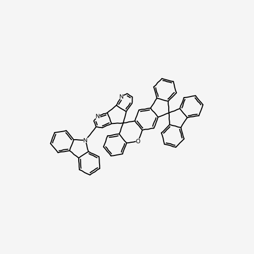 c1ccc2c(c1)Oc1cc3c(cc1C21c2cccnc2-c2ncc(-n4c5ccccc5c5ccccc54)cc21)-c1ccccc1C31c2ccccc2-c2ccccc21